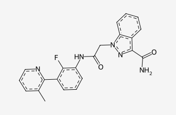 Cc1cccnc1-c1cccc(NC(=O)Cn2nc(C(N)=O)c3ccccc32)c1F